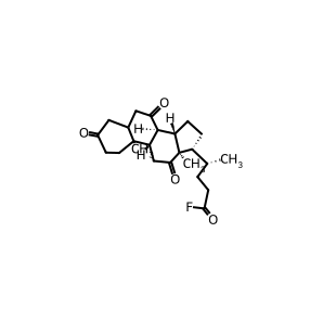 C[C@H](CCC(=O)F)[C@H]1CC[C@H]2[C@@H]3C(=O)CC4CC(=O)CC[C@]4(C)[C@H]3CC(=O)[C@]12C